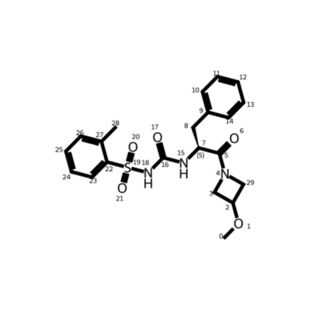 COC1CN(C(=O)[C@H](Cc2ccccc2)NC(=O)NS(=O)(=O)c2ccccc2C)C1